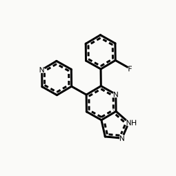 Fc1ccccc1-c1nc2[nH]ncc2cc1-c1ccncc1